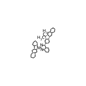 CC1(C)c2cc(-c3nc(-n4c5ccccc5c5cc6ccccc6cc54)nc4ccccc34)ccc2-c2cc3ccccc3cc21